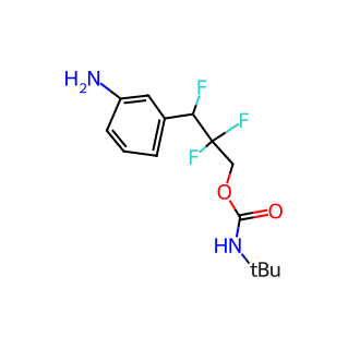 CC(C)(C)NC(=O)OCC(F)(F)C(F)c1cccc(N)c1